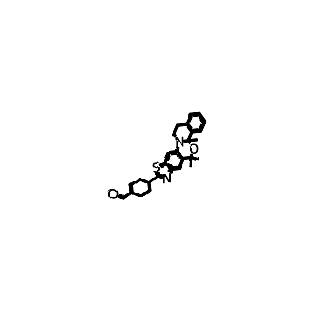 CC1(C)OC2(C)c3ccccc3CCN2c2cc3sc(C4CCC(C=O)CC4)nc3cc21